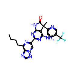 CCCCc1nc(-c2nc(N)c3c(n2)NC(=O)C3(C)c2ccc(C(F)(F)F)cn2)cn2ncnc12